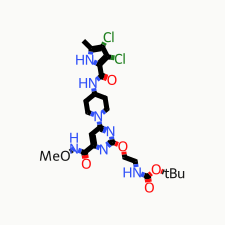 CONC(=O)c1cc(N2CCC(NC(=O)c3[nH]c(C)c(Cl)c3Cl)CC2)nc(OCCNC(=O)OC(C)(C)C)n1